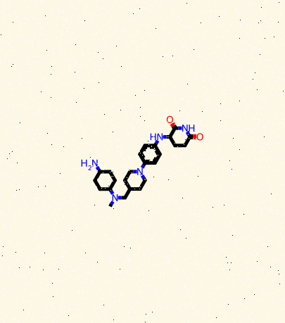 CN(CC1CCN(c2ccc(NC3CCC(=O)NC3=O)cc2)CC1)C1CCC(N)CC1